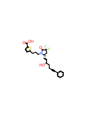 O=C(O)c1ccc(CCCN2C(=O)C(F)(F)C[C@@H]2C=C[C@@H](O)CCC#Cc2ccccc2)s1